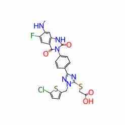 CNc1cc2[nH]c(=O)n(-c3ccc(-c4nc(SCC(=O)O)n(Cc5ccc(Cl)s5)n4)cc3)c(=O)c2cc1F